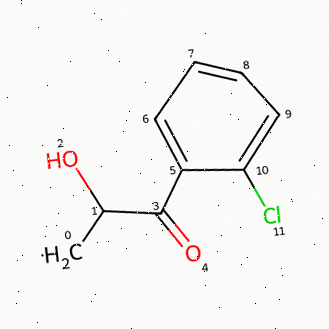 [CH2]C(O)C(=O)c1ccccc1Cl